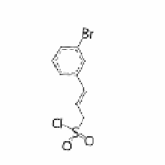 O=S(=O)(Cl)CC=Cc1cccc(Br)c1